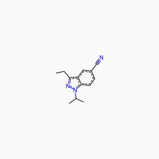 CCc1nn(C(C)C)c2ccc(C#N)cc12